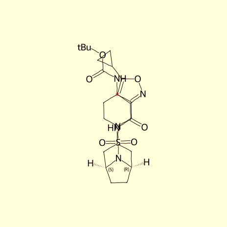 CC(C)(C)OC(=O)NC1CCN(S(=O)(=O)N2[C@@H]3CC[C@H]2CC(NC(=O)c2cc(C4CC4)on2)C3)CC1